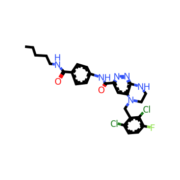 CCCCCNC(=O)c1ccc(NC(=O)c2cc3c(nn2)NCCN3Cc2c(Cl)ccc(F)c2Cl)cc1